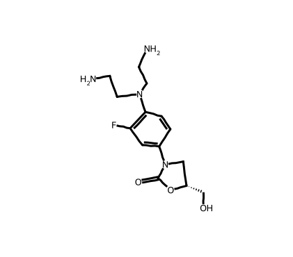 NCCN(CCN)c1ccc(N2C[C@H](CO)OC2=O)cc1F